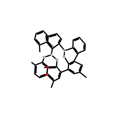 Cc1cc(C)c(OP(Oc2ccccc2C)Oc2ccccc2C)c(-c2cc(C)cc(C)c2OP(c2ccccc2)c2ccccc2)c1